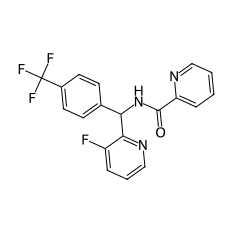 O=C(NC(c1ccc(C(F)(F)F)cc1)c1ncccc1F)c1ccccn1